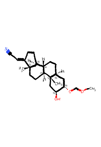 COCO[C@H]1C[C@@H]2CC[C@@H]3[C@H](CC[C@]4(C)C(=CC#N)CC[C@@H]34)[C@@]2(C)C[C@@H]1O